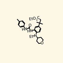 CCOC(=O)CC(C)(C)c1ccc(N(CC)C2CCOCC2)c(NC(=O)Nc2ccc(C)cc2)c1